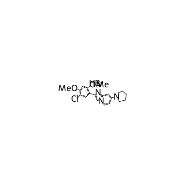 Br.COc1cc(OC)c(-c2cn3ccc(N4CCCCC4)cc3n2)cc1Cl